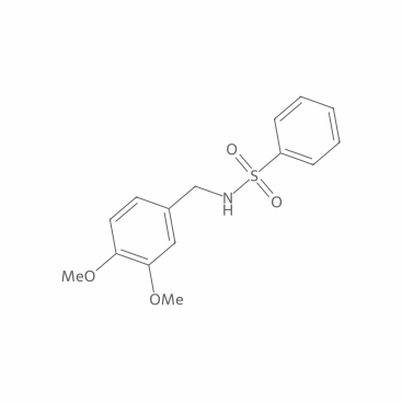 COc1ccc(CNS(=O)(=O)c2ccccc2)cc1OC